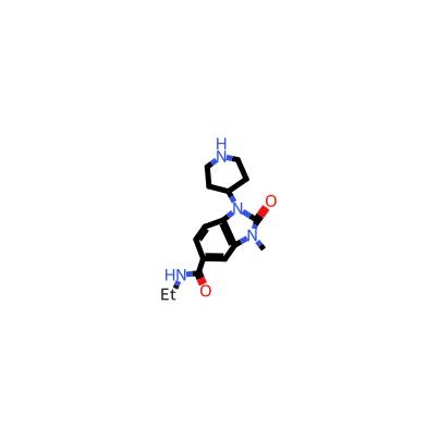 CCNC(=O)c1ccc2c(c1)n(C)c(=O)n2C1CCNCC1